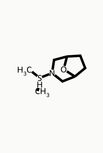 C[SH](C)N1CC2CCC(C1)O2